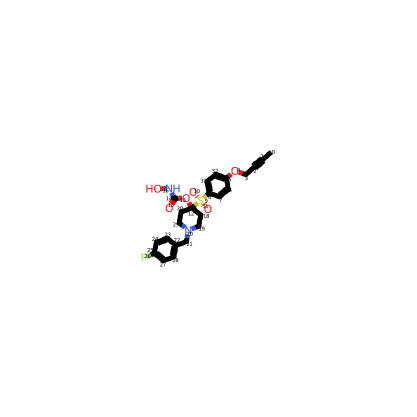 CC#CCOc1ccc(S(=O)(=O)C2(OC(=O)NO)CCN(Cc3ccc(F)cc3)CC2)cc1